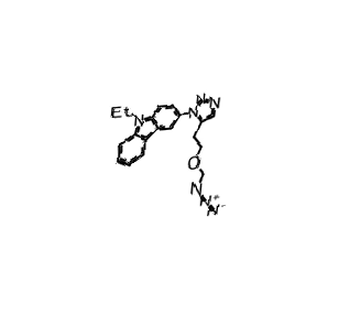 CCn1c2ccccc2c2cc(-n3nncc3CCOCN=[N+]=[N-])ccc21